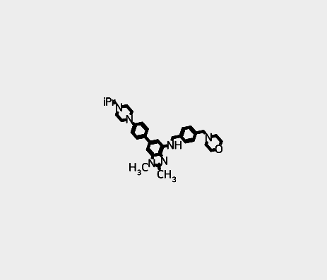 Cc1nc2c(NCc3ccc(CN4CCOCC4)cc3)cc(-c3ccc(N4CCN(C(C)C)CC4)cc3)cc2n1C